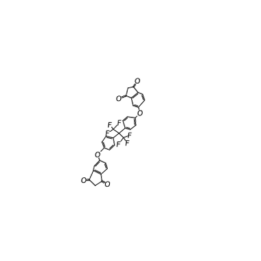 O=C1CC(=O)c2cc(Oc3ccc(C(c4ccc(Oc5ccc6c(c5)C(=O)CC6=O)cc4)(C(F)(F)F)C(F)(F)F)cc3)ccc21